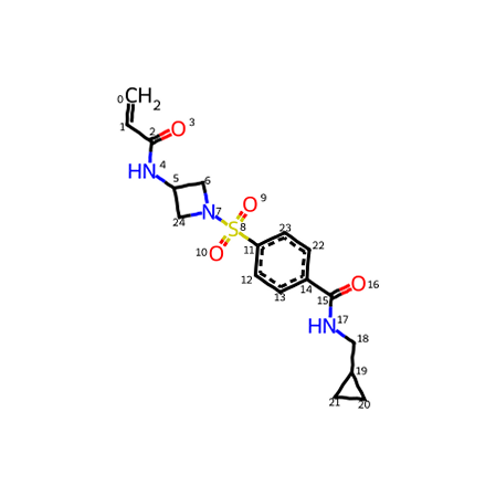 C=CC(=O)NC1CN(S(=O)(=O)c2ccc(C(=O)NCC3CC3)cc2)C1